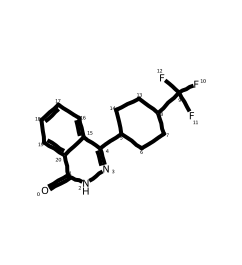 O=c1[nH]nc(C2CCC(C(F)(F)F)CC2)c2ccccc12